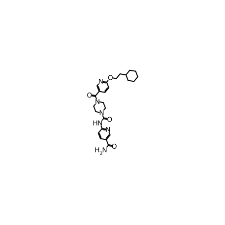 NC(=O)c1ccc(NC(=O)N2CCN(C(=O)c3ccc(OCCC4CCCCC4)nc3)CC2)nc1